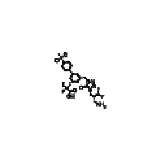 CS(=O)(=O)c1ccc(-c2cccc(Cn3nnn(CC(CN)=C(F)F)c3=O)c2)cc1.O=C(O)C(F)(F)F